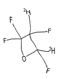 [2H]C1(F)OC(F)(F)C1([2H])F